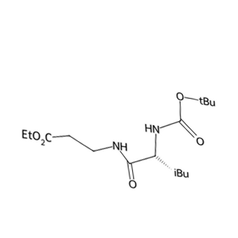 CCOC(=O)CCNC(=O)C(NC(=O)OC(C)(C)C)[C@@H](C)CC